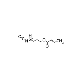 CC=CC(=O)OCCC[SiH2]N=C=O